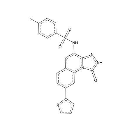 Cc1ccc(S(=O)(=O)Nc2cc3ccc(-c4cccs4)cc3n3c(=O)[nH]nc23)cc1